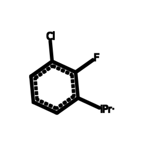 C[C](C)c1cccc(Cl)c1F